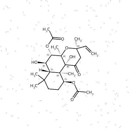 C=C[C@@]1(C)CC(=O)[C@@]2(O)[C@@]3(C)[C@@H](OC(C)=O)CCC(C)(C)[C@@H]3[C@@H](O)[C@H](OC(C)=O)[C@@]2(C)O1